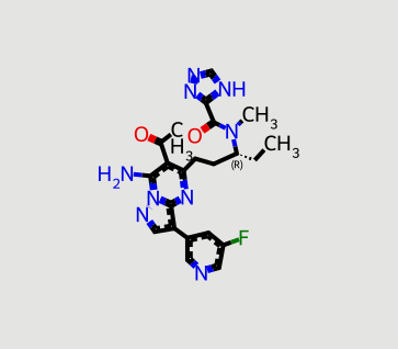 CC[C@H](CCc1nc2c(-c3cncc(F)c3)cnn2c(N)c1C(C)=O)N(C)C(=O)c1nnc[nH]1